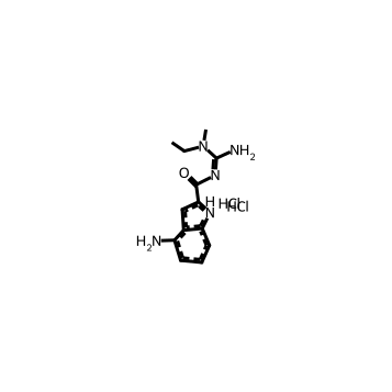 CCN(C)C(N)=NC(=O)c1cc2c(N)cccc2[nH]1.Cl.Cl